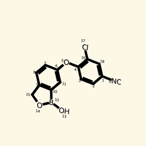 [C-]#[N+]c1ccc(Oc2ccc3c(c2)B(O)OC3)c(Cl)c1